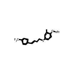 CCCOc1ccc(SCCC=Cc2ccc(C(F)(F)F)cc2)cc1C